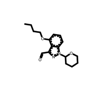 CCCCOc1cccc2c1c(C=O)nn2C1CCCCO1